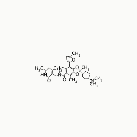 Cc1cc(C)c(CN2CCc3c(c(C)c4c(c3-c3ccc(C)o3)OC(C)([C@H]3CC[C@H](N(C)C)CC3)O4)C2=O)c(=O)[nH]1